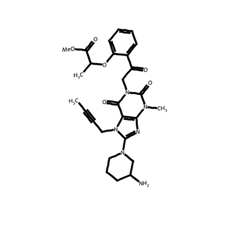 CC#CCn1c(N2CCCC(N)C2)nc2c1c(=O)n(CC(=O)c1ccccc1OC(C)C(=O)OC)c(=O)n2C